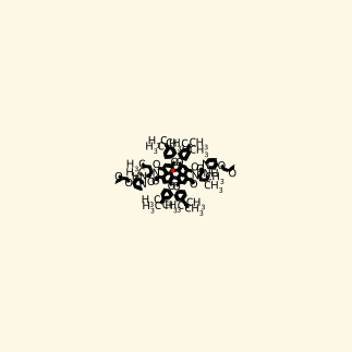 CC(C)CC(C(=O)Nc1cc(OCC2CO2)ccn1)N1C(=O)c2cc(Oc3ccc(C(C)(C)C)cc3)c3c4c(Oc5ccc(C(C)(C)C)cc5)cc5c6c(cc(Oc7ccc(C(C)(C)C)cc7)c(c7c(Oc8ccc(C(C)(C)C)cc8)cc(c2c37)C1=O)c64)C(=O)N(C(CC(C)C)C(=O)Nc1cc(OCC2CO2)ccn1)C5=O